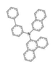 c1ccc(-c2cccc(N(c3ccc4ccccc4c3)c3cc4ccccc4c4ccccc34)c2)cc1